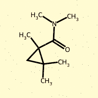 CN(C)C(=O)C1(C)CC1(C)C